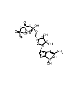 NC1=Nc2c(ncn2[C@@H]2O[C@H](COP(=O)(O)OP(=O)(O)OP(=O)(O)O)[C@@H](O)[C@H]2O)N(O)N1